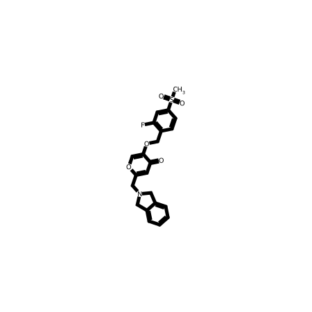 CS(=O)(=O)c1ccc(COc2coc(CN3Cc4ccccc4C3)cc2=O)c(F)c1